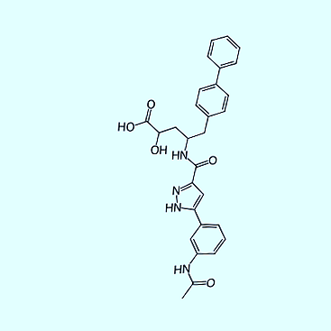 CC(=O)Nc1cccc(-c2cc(C(=O)NC(Cc3ccc(-c4ccccc4)cc3)CC(O)C(=O)O)n[nH]2)c1